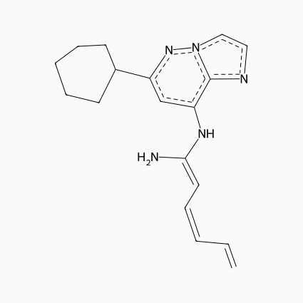 C=C/C=C\C=C(/N)Nc1cc(C2CCCCC2)nn2ccnc12